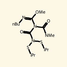 CCCCN=C(OC)N(C(=O)NC)C(=O)N(SC(C)C)SC(C)C